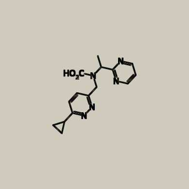 CC(c1ncccn1)N(Cc1ccc(C2CC2)nn1)C(=O)O